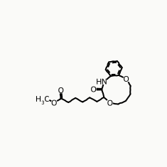 COC(=O)CCCCCC1OCCCCOc2ccccc2NC1=O